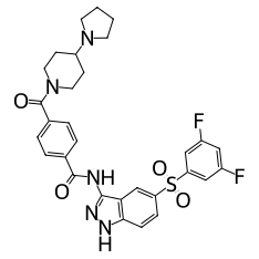 O=C(Nc1n[nH]c2ccc(S(=O)(=O)c3cc(F)cc(F)c3)cc12)c1ccc(C(=O)N2CCC(N3CCCC3)CC2)cc1